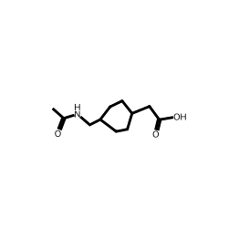 CC(=O)NCC1CCC(CC(=O)O)CC1